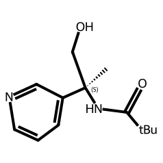 CC(C)(C)C(=O)N[C@](C)(CO)c1cccnc1